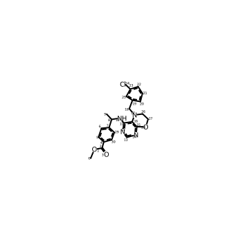 COC(=O)c1ccc(C(C)Nc2ncnc3c2N(Cc2cccc(Cl)c2)CCO3)cc1